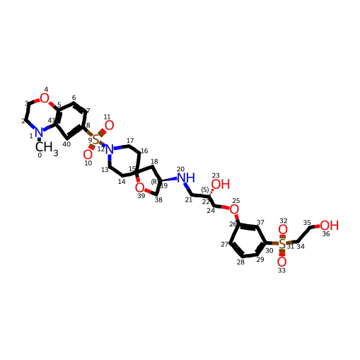 CN1CCOc2ccc(S(=O)(=O)N3CCC4(CC3)C[C@@H](NC[C@H](O)COc3cccc(S(=O)(=O)CCO)c3)CO4)cc21